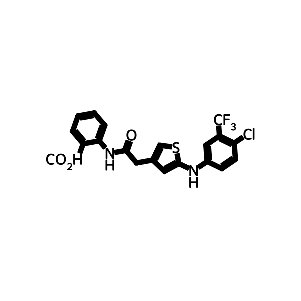 O=C(Cc1csc(Nc2ccc(Cl)c(C(F)(F)F)c2)c1)Nc1ccccc1C(=O)O